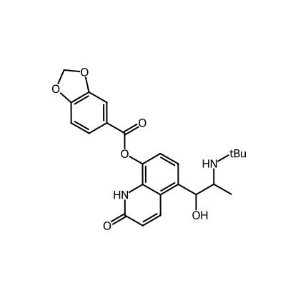 CC(NC(C)(C)C)C(O)c1ccc(OC(=O)c2ccc3c(c2)OCO3)c2[nH]c(=O)ccc12